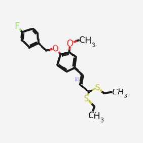 CCSC(/C=C/c1ccc(OCc2ccc(F)cc2)c(OC)c1)SCC